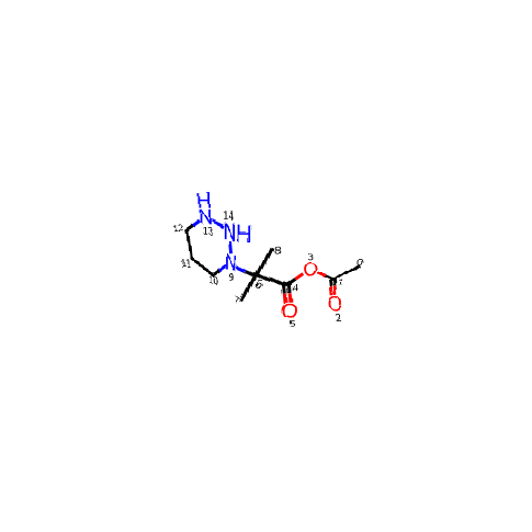 CC(=O)OC(=O)C(C)(C)N1CCCNN1